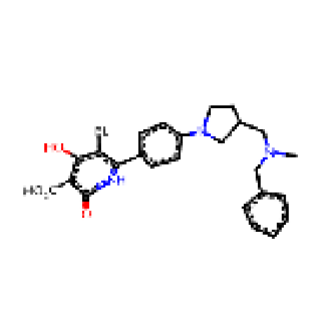 CCc1c(-c2ccc(N3CCC(CN(C)Cc4ccccc4)C3)cc2)[nH]c(=O)c(C(=O)O)c1O